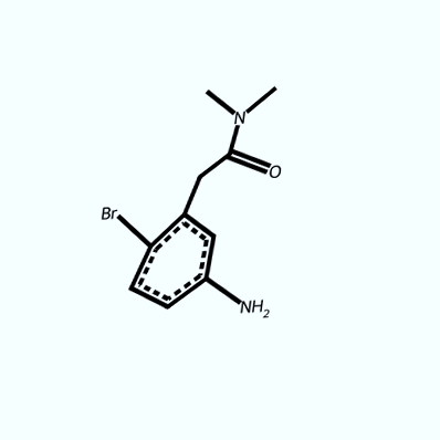 CN(C)C(=O)Cc1cc(N)ccc1Br